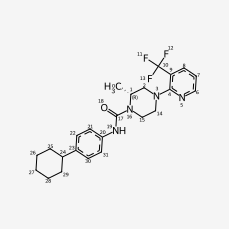 C[C@@H]1CN(c2ncccc2C(F)(F)F)CCN1C(=O)Nc1ccc(C2CCCCC2)cc1